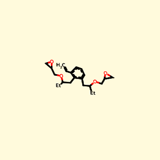 C=Cc1cccc(CC(CC)OCC2CO2)c1CC(CC)OCC1CO1